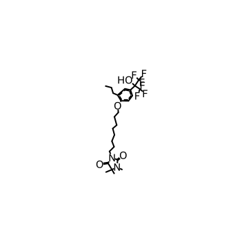 CCCc1cc(C(O)(C(F)(F)F)C(F)(F)F)ccc1OCCCCCCCCN1C(=O)N(C)C(C)(C)C1=O